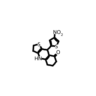 O=C1CCCC2=C1C(c1cc([N+](=O)[O-])cs1)C1=C(CCS1)N2